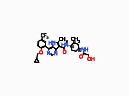 Cc1[nH]c2c(-c3cc(C(F)(F)F)ccc3OCC3CC3)ncnc2c1C(=O)N[C@H]1CC[C@H](NC(=O)CO)C[C@H]1C